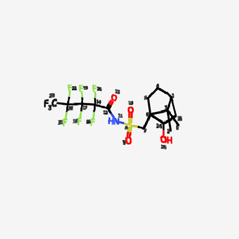 CC1(C)C2CCC1(CS(=O)(=O)NC(=O)C(F)(F)C(F)(F)C(F)(F)C(F)(F)F)C(O)C2